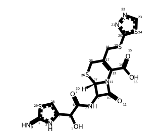 N=c1[nH]c(C(O)C(=O)NC2C(=O)N3C(C(=O)O)=C(CSc4nncs4)CS[C@@H]23)cs1